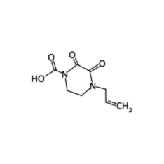 C=CCN1CCN(C(=O)O)C(=O)C1=O